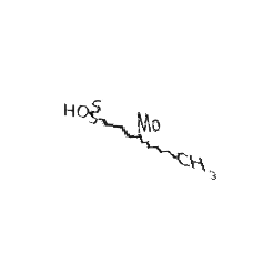 CCCCCCCCCCCCCSC(O)=S.[Mo]